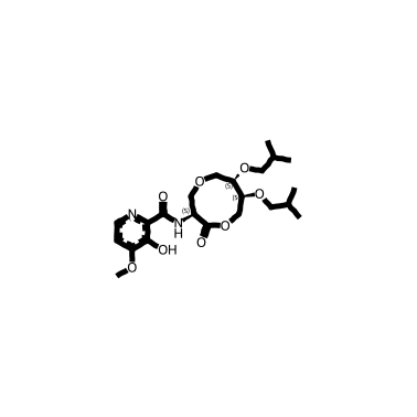 COc1ccnc(C(=O)N[C@H]2COC[C@H](OCC(C)C)[C@@H](OCC(C)C)COC2=O)c1O